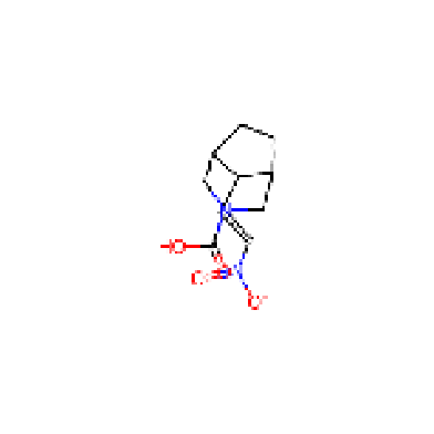 O=C(O)N1CC2CCC(C1)C2/C=C/[N+](=O)[O-]